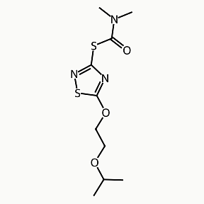 CC(C)OCCOc1nc(SC(=O)N(C)C)ns1